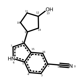 N#Cc1ccc2[nH]cc(C3CCC(O)C3)c2c1